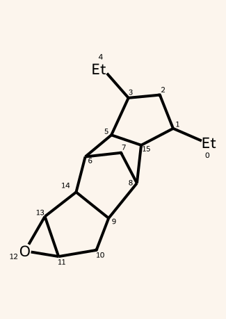 CCC1CC(CC)C2C3CC(C4CC5OC5C43)C12